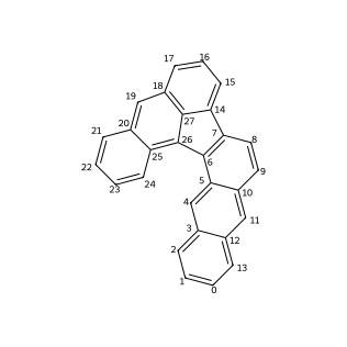 c1ccc2cc3c4c(ccc3cc2c1)-c1cccc2cc3ccccc3c-4c12